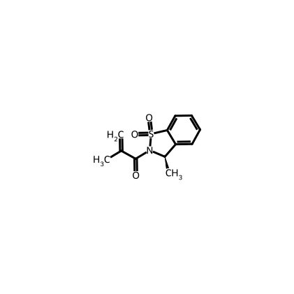 C=C(C)C(=O)N1[C@H](C)c2ccccc2S1(=O)=O